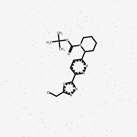 CC(C)(C)OC(=O)N1CCCCC1c1ccc(-c2nnc(CCl)o2)nn1